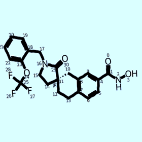 O=C(NO)c1ccc2c(c1)C[C@]1(CC2)CCN(Cc2ccccc2OC(F)(F)F)C1=O